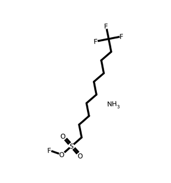 N.O=S(=O)(CCCCCCCCCC(F)(F)F)OF